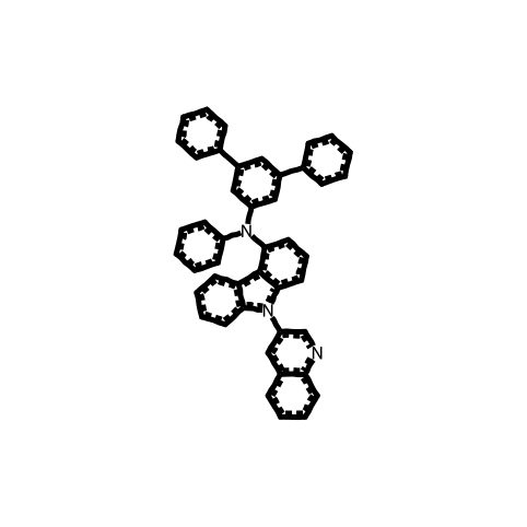 c1ccc(-c2cc(-c3ccccc3)cc(N(c3ccccc3)c3cccc4c3c3ccccc3n4-c3cnc4ccccc4c3)c2)cc1